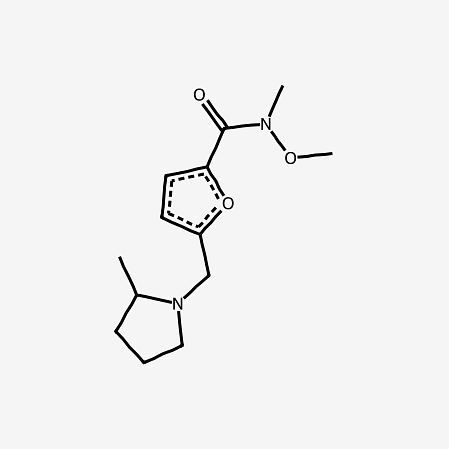 CON(C)C(=O)c1ccc(CN2CCCC2C)o1